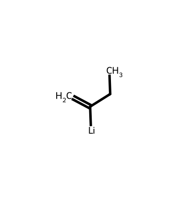 [Li][C](=C)CC